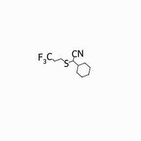 N#CC(SCCC(F)(F)F)C1CCCCC1